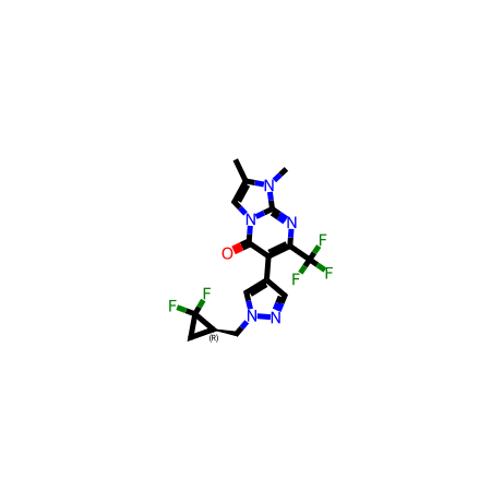 Cc1cn2c(=O)c(-c3cnn(C[C@H]4CC4(F)F)c3)c(C(F)(F)F)nc2n1C